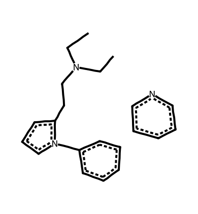 CCN(CC)CCc1cccn1-c1ccccc1.c1ccncc1